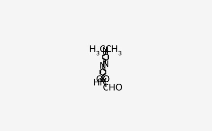 CN(C)c1ccc(N=Nc2ccc(S(=O)(=O)NCC=O)cc2)cc1